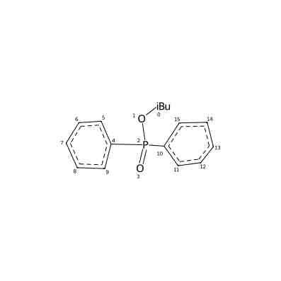 CCC(C)OP(=O)(c1ccccc1)c1ccccc1